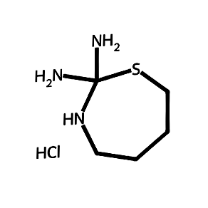 Cl.NC1(N)NCCCCS1